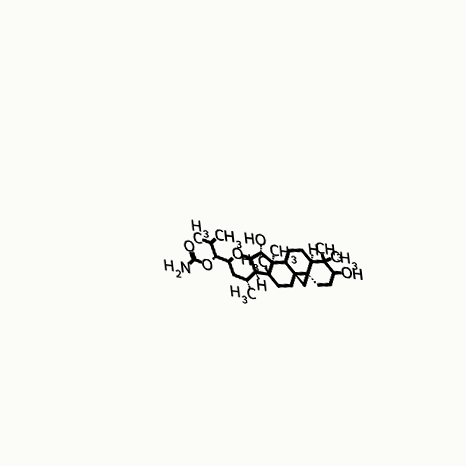 CC(C)[C@@H](OC(N)=O)C1C[C@@H](C)[C@H]2C(O1)[C@H](O)[C@@]1(C)C3CC[C@H]4C(C)(C)C(O)CC[C@@]45C[C@@]35CC[C@]21C